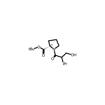 CC(C)C(CO)C(=O)N1CCC[C@H]1C(=O)OC(C)(C)C